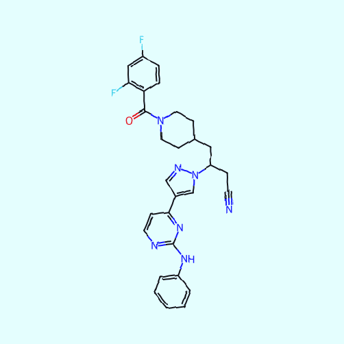 N#CCC(CC1CCN(C(=O)c2ccc(F)cc2F)CC1)n1cc(-c2ccnc(Nc3ccccc3)n2)cn1